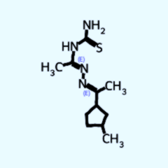 C/C(=N\N=C(/C)C1CCC(C)C1)NC(N)=S